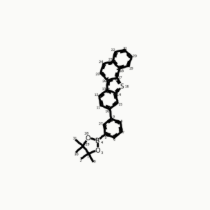 CC1(C)OB(c2cccc(-c3ccc4c(c3)sc3c5ccccc5ccc43)c2)OC1(C)C